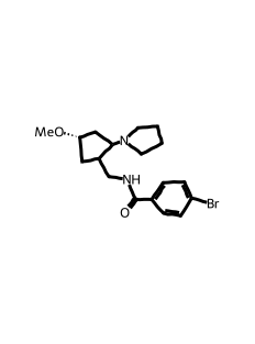 CO[C@H]1CC(CNC(=O)c2ccc(Br)cc2)C(N2CCCC2)C1